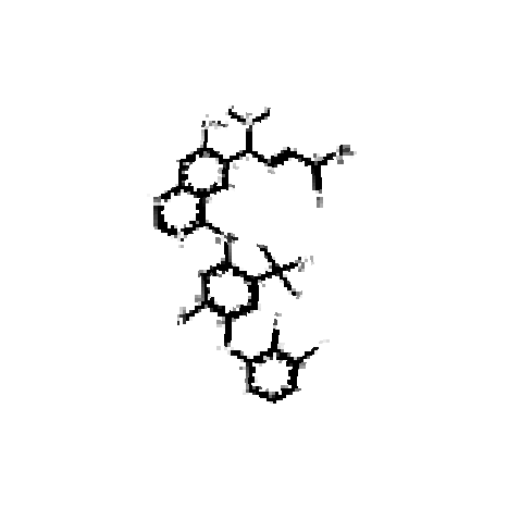 COc1cc2ncnc(Nc3cc(Cl)c(Oc4cccc(F)c4F)cc3C(C)(C)O)c2cc1C(C=CC(N)=O)N(C)C